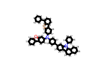 c1ccc(-c2cccc3c2sc2cc(N(c4ccc(-c5ccc6c7ccc8ccccc8c7n(-c7ccccc7)c6c5)cc4)c4ccc5c(c4)oc4ccccc45)ccc23)cc1